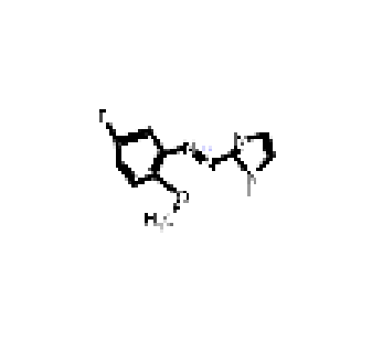 COc1ccc(F)cc1/N=N/c1ncc[nH]1